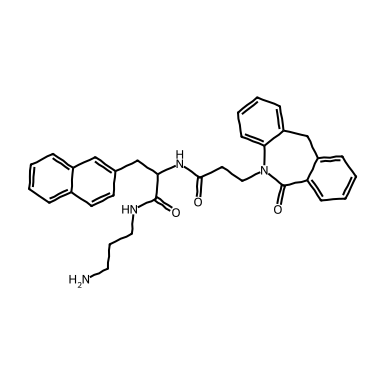 NCCCNC(=O)C(Cc1ccc2ccccc2c1)NC(=O)CCN1C(=O)c2ccccc2Cc2ccccc21